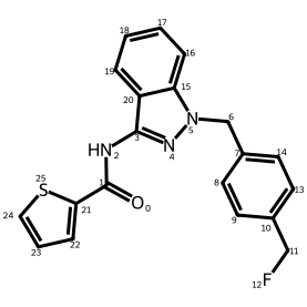 O=C(Nc1nn(Cc2ccc(CF)cc2)c2ccccc12)c1cccs1